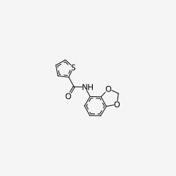 O=C(Nc1cccc2c1OCO2)c1cccs1